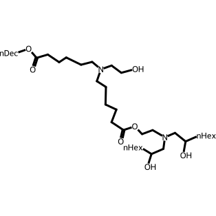 CCCCCCCCCCOC(=O)CCCCCN(CCO)CCCCCC(=O)OCCN(CC(O)CCCCCC)CC(O)CCCCCC